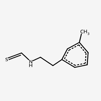 Cc1cccc(CCNC=S)c1